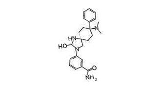 CN(C)[C@]1(c2ccccc2)CC[C@]2(CC1)CN(c1cccc(C(N)=O)c1)C(O)N2